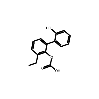 CCc1cccc(-c2ccccc2O)c1OC(=O)O